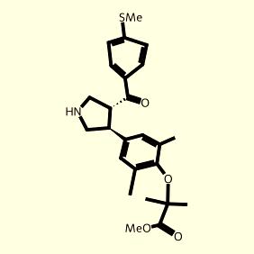 COC(=O)C(C)(C)Oc1c(C)cc([C@H]2CNC[C@@H]2C(=O)c2ccc(SC)cc2)cc1C